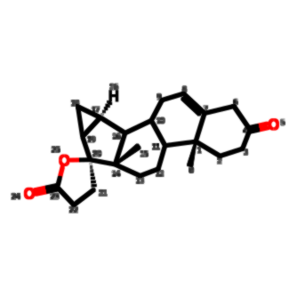 C[C@]12CCC(=O)CC1=CCC1C2CC[C@@]2(C)C1[C@@H]1CC1[C@@]21CCC(=O)O1